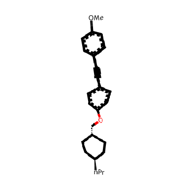 CCC[C@H]1CC[C@H](COc2ccc(C#Cc3ccc(OC)cc3)cc2)CC1